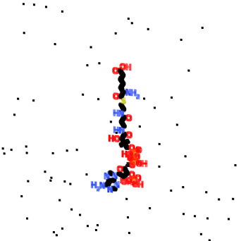 CC(C)(COP(=O)(O)OP(=O)(O)OC[C@H]1O[C@@H](n2cnc3c(N)ncnc32)[C@H](O)[C@@H]1OP(=O)(O)O)[C@@H](O)C(=O)NCCC(=O)NCCSC(=O)[C@@H](N)CCCCC(=O)O